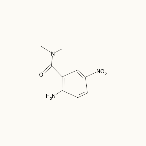 CN(C)C(=O)c1cc([N+](=O)[O-])ccc1N